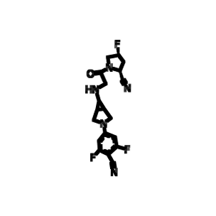 N#Cc1c(F)cc(N2CC3C(C2)C3NCC(=O)N2C[C@@H](F)C[C@H]2C#N)cc1F